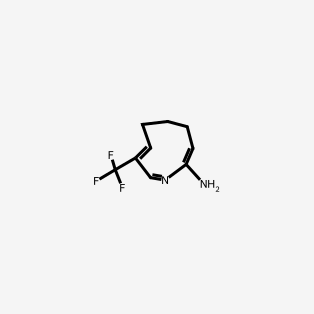 NC1=C/CCC/C=C(C(F)(F)F)/C=N\1